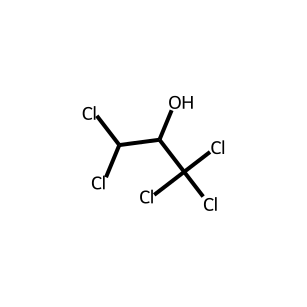 OC(C(Cl)Cl)C(Cl)(Cl)Cl